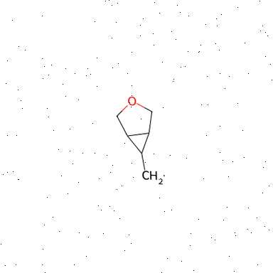 [CH2]C1C2COCC12